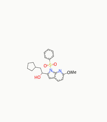 COc1ccc2cc(C(O)CC3CCCC3)n(S(=O)(=O)c3ccccc3)c2n1